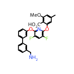 COc1cc(C)cc(Oc2nc(Oc3cccc(-c4cccc(CN)c4)c3)c(F)cc2F)c1C(=O)O